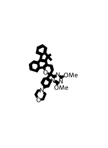 COc1nc(OC)nc(C2(c3ccc(N4CCOCC4)cc3)C=Cc3c4c(c5ccccc5c3O2)-c2ccccc2C4(C)C)n1